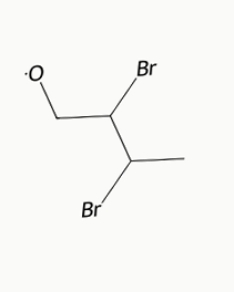 CC(Br)C(Br)C[O]